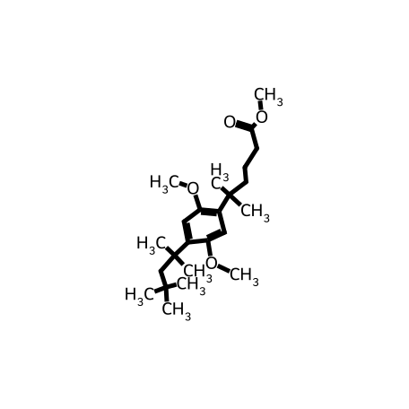 COC(=O)CCCC(C)(C)c1cc(OC)c(C(C)(C)CC(C)(C)C)cc1OC